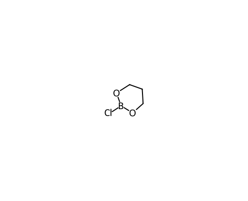 ClB1OCCCO1